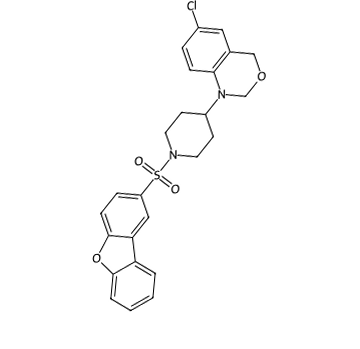 O=S(=O)(c1ccc2oc3ccccc3c2c1)N1CCC(N2COCc3cc(Cl)ccc32)CC1